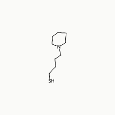 SCCCCN1CCCCC1